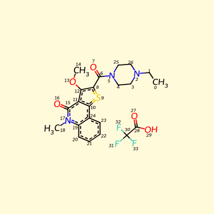 CCN1CCN(C(=O)c2sc3c(c2OC)c(=O)n(C)c2ccccc32)CC1.O=C(O)C(F)(F)F